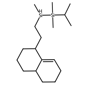 CC(C)[Si](C)(C)[SiH](C)CCC1CCCC2CCCC=C21